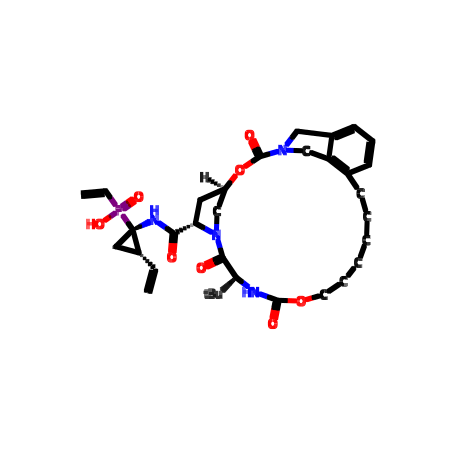 C=C[C@@H]1C[C@]1(NC(=O)[C@@H]1C[C@@H]2CN1C(=O)[C@H](C(C)(C)C)NC(=O)OCCCCCCc1cccc3c1CN(C3)C(=O)O2)P(=O)(O)C=C